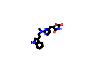 CN(CCc1c[nH]c2ccccc12)c1nccc(CC2SC(=O)NC2=O)n1